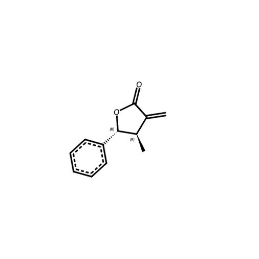 C=C1C(=O)O[C@@H](c2ccccc2)[C@@H]1C